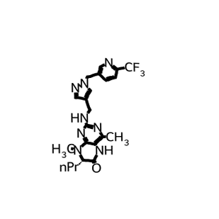 CCC[C@H]1C(=O)Nc2c(C)nc(NCc3cnn(Cc4ccc(C(F)(F)F)nc4)c3)nc2N1C